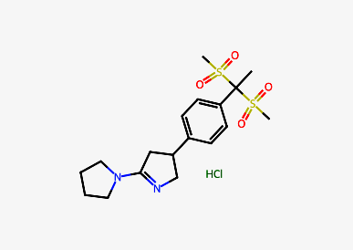 CC(c1ccc(C2CN=C(N3CCCC3)C2)cc1)(S(C)(=O)=O)S(C)(=O)=O.Cl